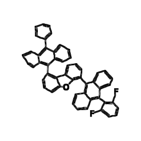 Fc1cccc(F)c1-c1c2ccccc2c(-c2cccc3c2oc2cccc(-c4c5ccccc5c(-c5ccccc5)c5ccccc45)c23)c2ccccc12